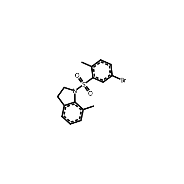 Cc1ccc(Br)cc1S(=O)(=O)N1CCc2cccc(C)c21